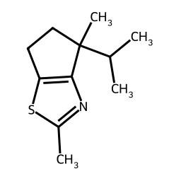 Cc1nc2c(s1)CCC2(C)C(C)C